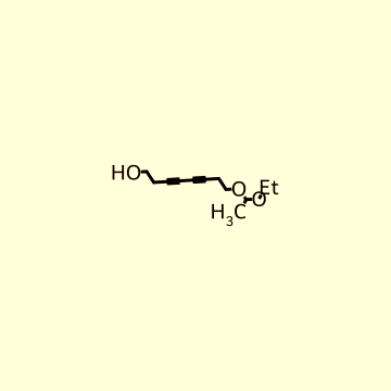 CCOC(C)OCCC#CC#CCCO